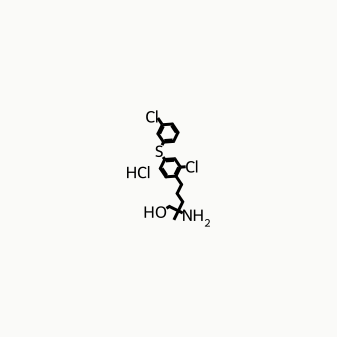 CC(N)(CO)CCCc1ccc(Sc2cccc(Cl)c2)cc1Cl.Cl